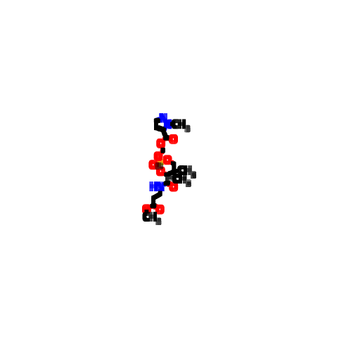 COC(=O)CCNC(=O)[C@@H]1O[P@](=O)(OCOC(=O)c2ccnn2C)OCC1(C)C